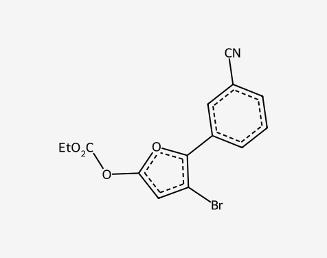 CCOC(=O)Oc1cc(Br)c(-c2cccc(C#N)c2)o1